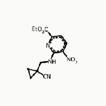 CCOC(=O)c1ccc([N+](=O)[O-])c(NCC2(C#N)CC2)n1